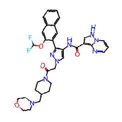 O=C(Nc1cn(CC(=O)N2CCC(CN3CCOCC3)CC2)nc1-c1cc2ccccc2cc1OC(F)F)C1=C2N=CC=CN2NC1